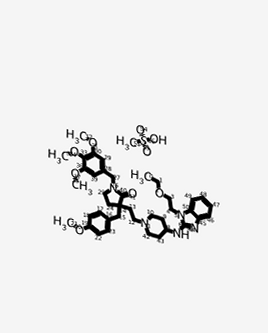 CCOCCn1c(NC2CCN(CCC3(Cc4ccc(OC)cc4)CCN(Cc4cc(OC)c(OC)c(OC)c4)C3=O)CC2)nc2ccccc21.CS(=O)(=O)O